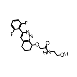 O=C(COC1CCCc2cc(-c3c(F)cccc3F)nnc21)NCCO